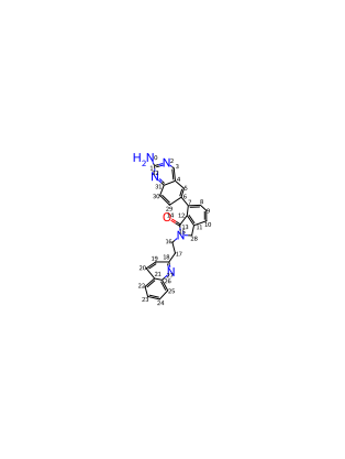 Nc1ncc2cc(-c3cccc4c3C(=O)N(CCc3ccc5ccccc5n3)C4)ccc2n1